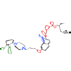 CC(COC(=O)OCOc1ccc2ccc(OCCCCN3CCN(c4cccc(Cl)c4Cl)CC3)cc2n1)CC(C)(C)C